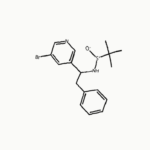 CC(C)(C)[S+]([O-])NC(Cc1ccccc1)c1cncc(Br)c1